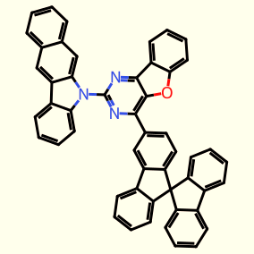 c1ccc2c(c1)-c1ccccc1C21c2ccccc2-c2cc(-c3nc(-n4c5ccccc5c5cc6ccccc6cc54)nc4c3oc3ccccc34)ccc21